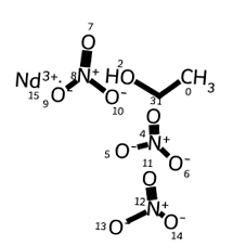 CCO.O=[N+]([O-])[O-].O=[N+]([O-])[O-].O=[N+]([O-])[O-].[Nd+3]